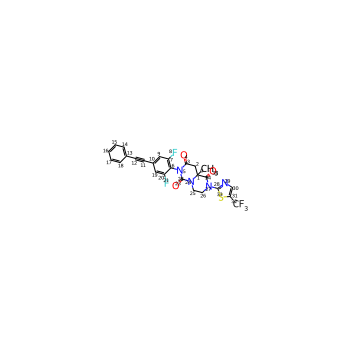 CC12CC(=O)N(c3c(F)cc(C#Cc4ccccc4)cc3F)C(=O)N1CCN(c1ncc(C(F)(F)F)s1)C2=O